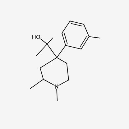 Cc1cccc(C2(C(C)(C)O)CCN(C)C(C)C2)c1